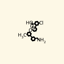 Cc1cc(Oc2cccc(-c3cc(Cl)ccc3C(=O)O)n2)cc(-c2cccc(CN)c2)c1